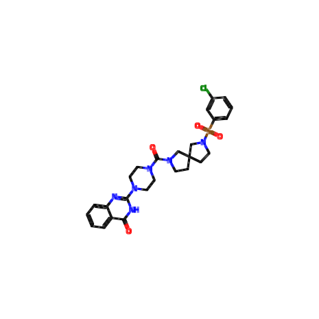 O=C(N1CCN(c2nc3ccccc3c(=O)[nH]2)CC1)N1CCC2(CCN(S(=O)(=O)c3cccc(Cl)c3)C2)C1